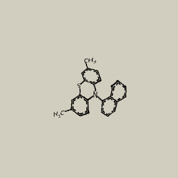 Cc1ccc2c(c1)Sc1cc(C)ccc1N2c1cccc2ccccc12